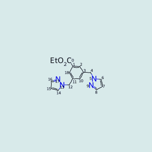 CCOC(=O)c1cc(Cn2cccn2)cc(Cn2cccn2)c1